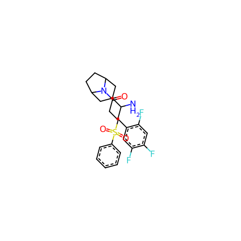 NC(Cc1cc(F)c(F)cc1F)C1CC2CCC(C1)N2C(=O)CCS(=O)(=O)c1ccccc1